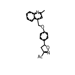 CC(=O)C1=NOC(c2ccc(OCc3cc(C)nc4ccccc34)cc2)C1